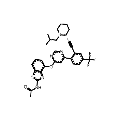 CC(=O)Nc1nc2c(Oc3cc(-c4ccc(C(F)(F)F)cc4C#C[C@H]4CCCCN4CC(C)C)ncn3)cccc2s1